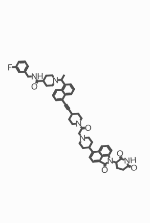 CC(c1cccc2c(C#CC3CCN(C(=O)CN4CCC(c5ccc6c7c(cccc57)N(C5CCC(=O)NC5=O)C6=O)CC4)CC3)cccc12)N1CCC(C(=O)NCc2cccc(F)c2)CC1